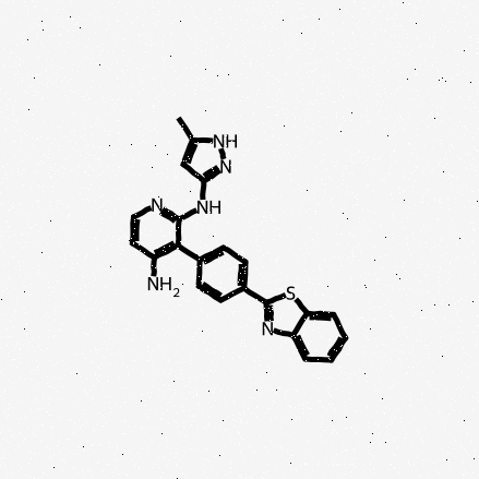 Cc1cc(Nc2nccc(N)c2-c2ccc(-c3nc4ccccc4s3)cc2)n[nH]1